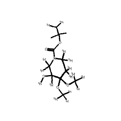 [2H]OC1([2H])C([2H])([2H])N(C(=O)OC(C)(C)C([2H])[2H])C([2H])([2H])C([2H])([2H])C1(OC([2H])([2H])[2H])OC([2H])([2H])[2H]